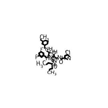 CCCC(CCC)S(=O)(=O)C[C@@H](NC(=O)c1cncc(Cl)c1)C(=O)N[C@@H](Cc1cc(F)cc(F)c1)[C@H](O)CNCc1cccc(CC)c1